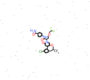 NC(=O)c1ccc(NC(=O)C(CCOCC(F)F)n2cc3c(cc2=O)-c2cc(Cl)ccc2CC(C(F)(F)F)CO3)cc1